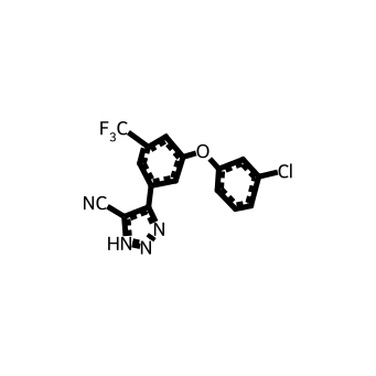 N#Cc1[nH]nnc1-c1cc(Oc2cccc(Cl)c2)cc(C(F)(F)F)c1